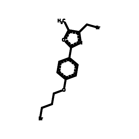 Cc1oc(-c2ccc(OCCCBr)cc2)nc1CBr